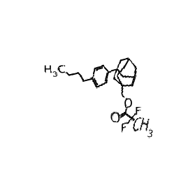 CCCCc1ccc(C23CC4CC(CC(COC(=O)C(C)(F)F)(C4)C2)C3)cc1